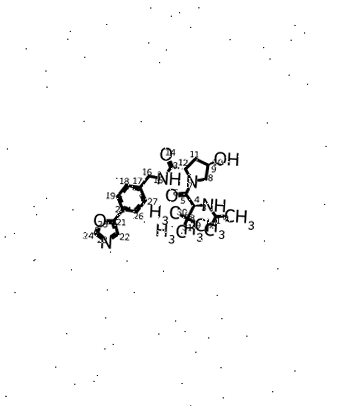 CC(C)N[C@H](C(=O)N1C[C@H](O)C[C@H]1C(=O)NCc1ccc(-c2cnco2)cc1)C(C)(C)C